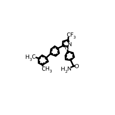 Cc1cc(C)cc(-c2ccc(-c3cc(C(F)(F)F)nn3-c3ccc(C(N)=O)cc3)cc2)c1